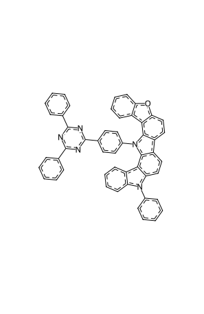 c1ccc(-c2nc(-c3ccccc3)nc(-c3ccc(-n4c5c(ccc6oc7ccccc7c65)c5ccc6c(c7ccccc7n6-c6ccccc6)c54)cc3)n2)cc1